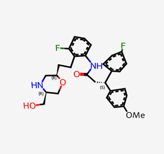 COc1ccc([C@H](CC(=O)Nc2cccc(F)c2CC[C@@H]2CN[C@H](CO)CO2)c2ccc(F)cc2)cc1